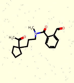 CC(=O)C1(CCCN(C)C(=O)c2ccccc2C=O)CCCC1